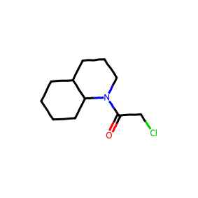 O=C(CCl)N1CCCC2CCCCC21